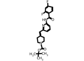 CC(C)(C)OC(=O)N1CCC(=Cc2cccc(NC(=O)c3ccc(F)cc3F)n2)CC1